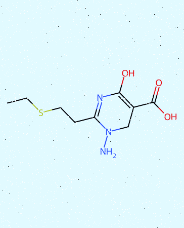 CCSCCC1=NC(O)=C(C(=O)O)CN1N